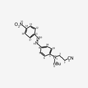 CCCCN(CCC#N)c1ccc(/N=N/c2ccc([N+](=O)[O-])cc2)cc1